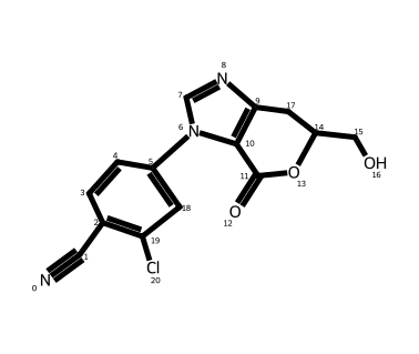 N#Cc1ccc(-n2cnc3c2C(=O)OC(CO)C3)cc1Cl